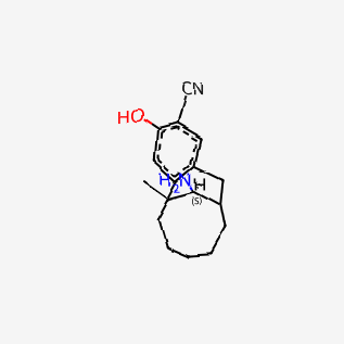 CC12CCCCCC(Cc3cc(C#N)c(O)cc31)[C@@H]2N